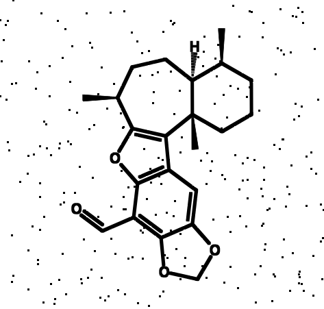 C[C@H]1CC[C@H]2[C@@H](C)CCC[C@]2(C)c2c1oc1c(C=O)c3c(cc21)OCO3